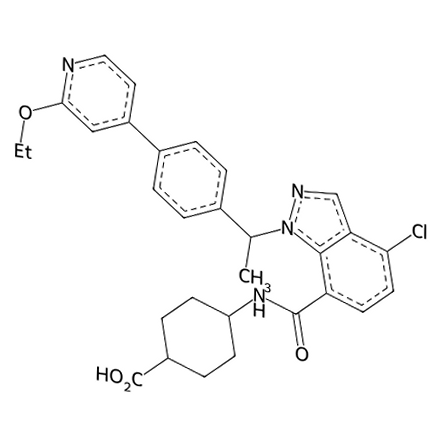 CCOc1cc(-c2ccc(C(C)n3ncc4c(Cl)ccc(C(=O)NC5CCC(C(=O)O)CC5)c43)cc2)ccn1